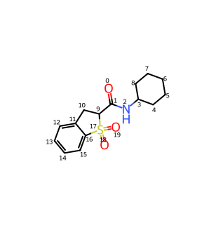 O=C(NC1CCCCC1)C1Cc2ccccc2S1(=O)=O